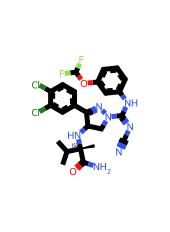 CC(C)[C@](C)(NC1CN(C(=NC#N)Nc2cccc(OC(F)F)c2)N=C1c1ccc(Cl)c(Cl)c1)C(N)=O